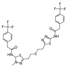 CN1N=C(CCSCCc2nnc(NC(=O)Cc3ccc(C(F)(F)F)cc3)s2)SC1NC(=O)Cc1ccc(C(F)(F)F)cc1